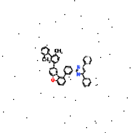 Cc1ccccc1-c1cc(-c2ccc3oc4cccc(-c5cccc(-c6nc(-c7ccccc7)cc(-c7ccccc7)n6)c5)c4c3c2)ccc1C